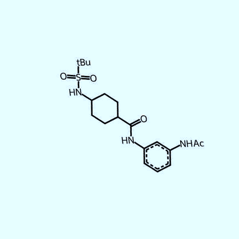 CC(=O)Nc1cccc(NC(=O)C2CCC(NS(=O)(=O)C(C)(C)C)CC2)c1